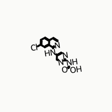 O=C(O)Nc1ncc(Nc2nccc3ccc(Cl)cc23)cn1